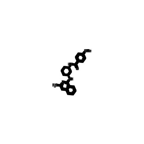 COc1ccc(C(=O)N[C@@H]2CCC[C@H](Nc3nc(C(F)(F)F)cc4ccccc34)C2)cc1